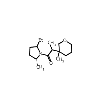 CCC1CC[C@@H](C)N1C(=O)C(C)C1(C)CCCOC1